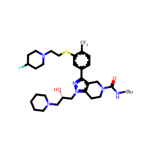 CC(C)(C)NC(=O)N1CCc2c(c(-c3ccc(C(F)(F)F)c(SCCN4CCC(F)CC4)c3)nn2C[C@@H](O)CN2CCCCC2)C1